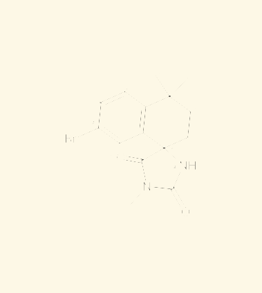 CN1C(=O)NC2(CCC(C)(C)c3ccc(Br)cc32)C1=O